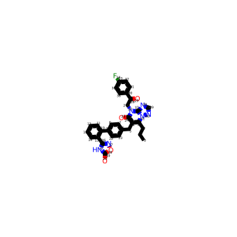 CCCc1c(Cc2ccc(-c3ccccc3-c3noc(=O)[nH]3)cc2)c(=O)n(CC(=O)c2ccc(F)cc2)c2ncnn12